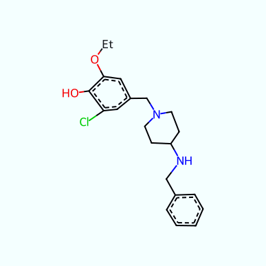 CCOc1cc(CN2CCC(NCc3ccccc3)CC2)cc(Cl)c1O